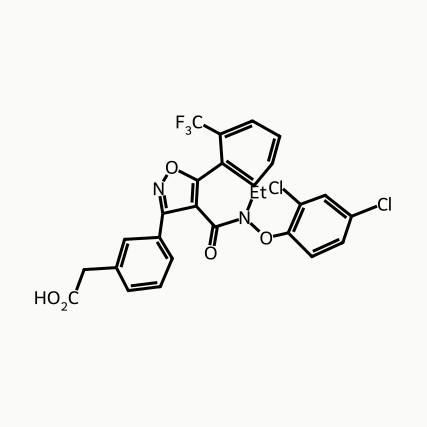 CCN(Oc1ccc(Cl)cc1Cl)C(=O)c1c(-c2cccc(CC(=O)O)c2)noc1-c1ccccc1C(F)(F)F